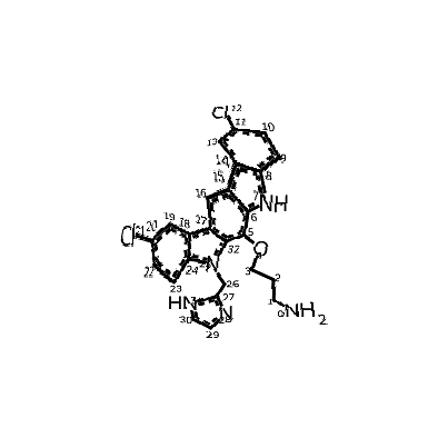 NCCCOc1c2[nH]c3ccc(Cl)cc3c2cc2c3cc(Cl)ccc3n(Cc3ncc[nH]3)c12